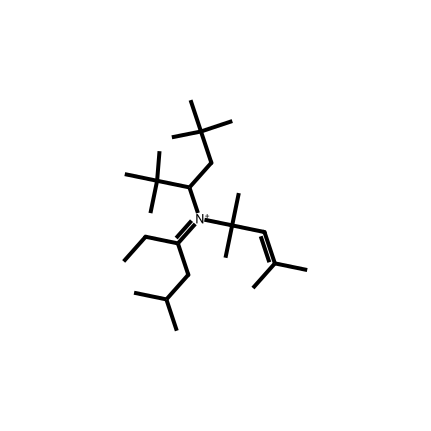 CC/C(CC(C)C)=[N+](\C(CC(C)(C)C)C(C)(C)C)C(C)(C)C=C(C)C